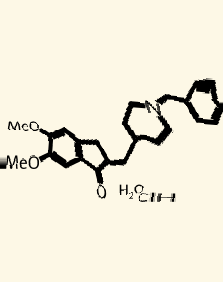 COc1cc2c(cc1OC)C(=O)C(CC1CCN(Cc3ccccc3)CC1)C2.Cl.O